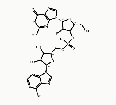 Nc1nc2c(ncn2[C@@H]2O[C@H](CO)C(OP(=O)(O)OC[C@H]3O[C@@H](n4cnc5c(N)ncnc54)C(O)C3O)C2F)c(=O)[nH]1